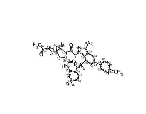 CC(=O)c1nn(CC(=O)N2[C@H](C(=O)Nc3nc(Br)ccc3C)C[C@@]3(CNC(=O)C(F)(F)F)C[C@@H]23)c2c(C)cc(-c3cnc(C)nc3)cc12